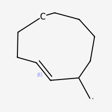 [CH2]C1/C=C/CCCCCCC1